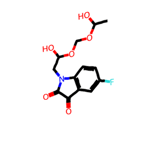 CC(O)OCOC(O)CN1C(=O)C(=O)c2cc(F)ccc21